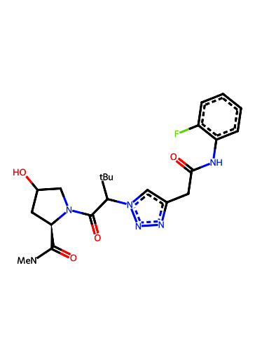 CNC(=O)[C@H]1CC(O)CN1C(=O)C(n1cc(CC(=O)Nc2ccccc2F)nn1)C(C)(C)C